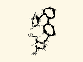 CCCc1nn(Cc2ccc(-c3ccccc3-c3nnn[nH]3)cc2)c(=NC(C)=O)s1